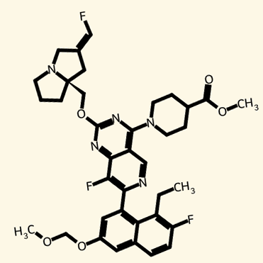 CCc1c(F)ccc2cc(OCOC)cc(-c3ncc4c(N5CCC(C(=O)OC)CC5)nc(OC[C@@]56CCCN5C/C(=C\F)C6)nc4c3F)c12